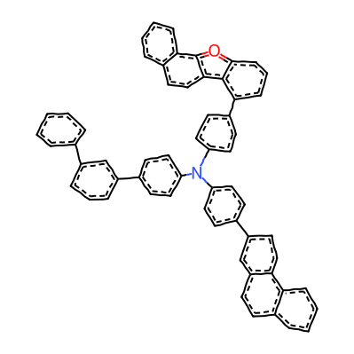 c1ccc(-c2cccc(-c3ccc(N(c4ccc(-c5ccc6c(ccc7ccccc76)c5)cc4)c4ccc(-c5cccc6oc7c8ccccc8ccc7c56)cc4)cc3)c2)cc1